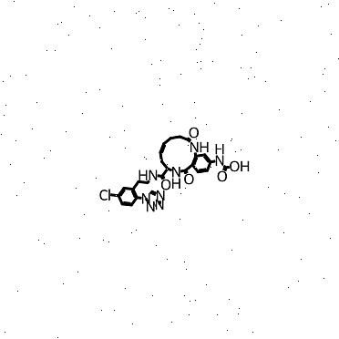 O=C(O)Nc1ccc2c(c1)NC(=O)CCC=CCC(C(=O)NCCc1cc(Cl)ccc1-n1cnnn1)NC2=O